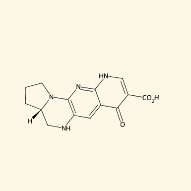 O=C(O)c1c[nH]c2nc3c(cc2c1=O)NC[C@@H]1CCCN31